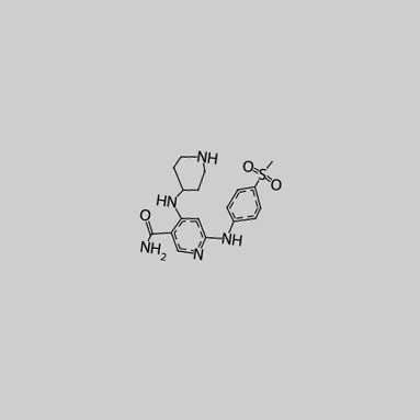 CS(=O)(=O)c1ccc(Nc2cc(NC3CCNCC3)c(C(N)=O)cn2)cc1